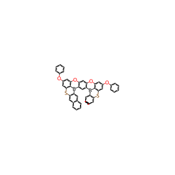 c1ccc(Oc2cc3c4c(c2)Sc2cc5ccccc5cc2B4c2cc4c(cc2O3)Oc2cc(Oc3ccccc3)cc3c2B4c2cc4ccccc4cc2S3)cc1